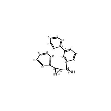 N=C(c1cccc(-c2ccccc2)c1)C1NC1c1ccccc1